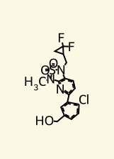 CN1c2nc(-c3cc(CO)ccc3Cl)ccc2N(CC2CC2(F)F)S1(=O)=O